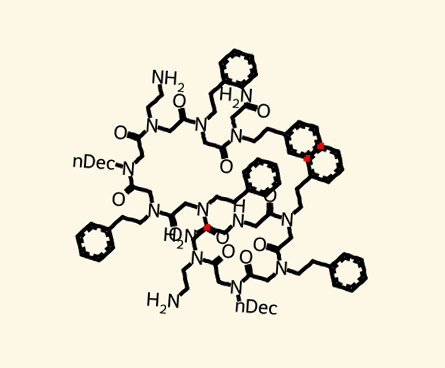 CCCCCCCCCCN(CC(=O)N(CCN)CC(=O)N(CCc1ccccc1)CC(=O)N(CCc1ccccc1)CC(=O)N(CCCCCCCCCC)CC(=O)N(CCN)CC(=O)N(CCc1ccccc1)CC(=O)N(CCc1ccccc1)CC(N)=O)C(=O)CN(CCc1ccccc1)C(=O)CN(CCc1ccccc1)C(=O)CNCCN